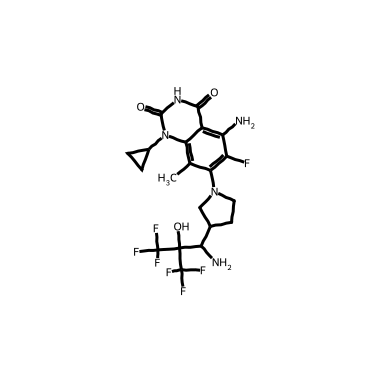 Cc1c(N2CCC(C(N)C(O)(C(F)(F)F)C(F)(F)F)C2)c(F)c(N)c2c(=O)[nH]c(=O)n(C3CC3)c12